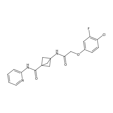 O=C(COc1ccc(Cl)c(F)c1)NC12CC(C(=O)Nc3ccccn3)(C1)C2